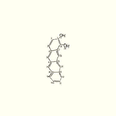 Oc1ccc2cc3cc4ccccc4cc3cc2c1O